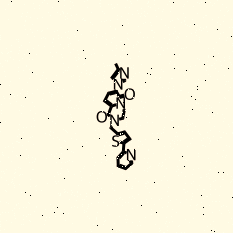 Cc1cn(-c2ccc3n(c2=O)CCN(Cc2ccc(-c4ccccn4)s2)C3=O)cn1